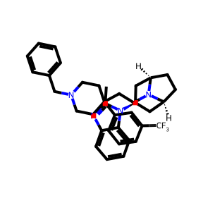 Cc1nc2ccccc2n1[C@H]1C[C@H]2CC[C@@H](C1)N2CCC1(c2cccc(C(F)(F)F)c2)CCN(Cc2ccccc2)CC1